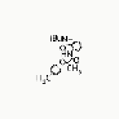 CCC(C)NC(=O)c1ccccc1NC(=O)C(C)Oc1ccc(C)cc1